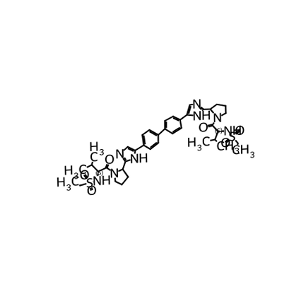 CCS(=O)(=O)N[C@H](C(=O)N1CCCC1c1ncc(-c2ccc(-c3ccc(-c4cnc(C5CCCN5C(=O)[C@@H](NS(=O)(=O)CC)C(C)C)[nH]4)cc3)cc2)[nH]1)C(C)C